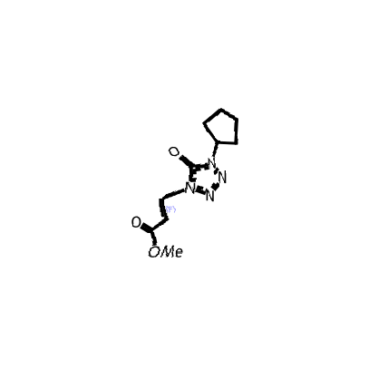 COC(=O)/C=C/n1nnn(C2CCCC2)c1=O